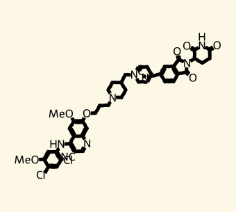 COc1cc(Nc2c(C#N)cnc3cc(OCCCN4CCC(CN5CC6CCC5CN6c5ccc6c(c5)C(=O)N(C5CCC(=O)NC5=O)C6=O)CC4)c(OC)cc23)c(Cl)cc1Cl